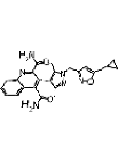 Cc1nn(Cc2cc(C3CC3)on2)c(C)c1-c1c(C(N)=O)nc2ccccc2c1C(N)=O